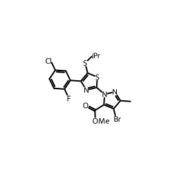 COC(=O)c1c(Br)c(C)nn1-c1nc(-c2cc(Cl)ccc2F)c(SC(C)C)s1